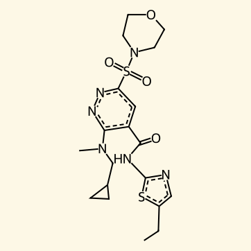 CCc1cnc(NC(=O)c2cc(S(=O)(=O)N3CCOCC3)nnc2N(C)CC2CC2)s1